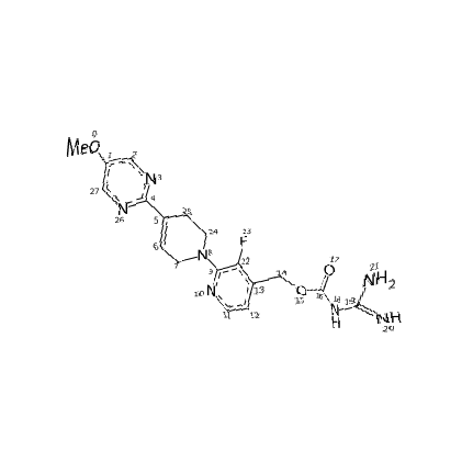 COc1cnc(C2=CCN(c3nccc(COC(=O)NC(=N)N)c3F)CC2)nc1